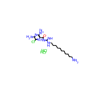 Cl.Cl.N=C(NCCCCCCCCCCCN)NC(=O)c1nc(Cl)c(N)nc1N